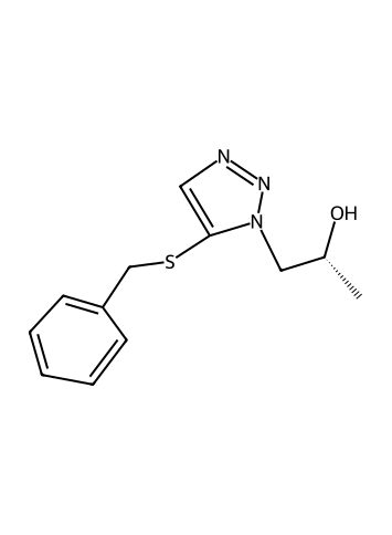 C[C@@H](O)Cn1nncc1SCc1ccccc1